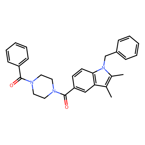 Cc1c(C)n(Cc2ccccc2)c2ccc(C(=O)N3CCN(C(=O)c4ccccc4)CC3)cc12